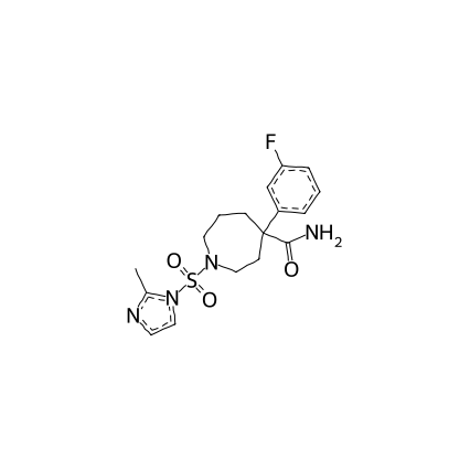 Cc1nccn1S(=O)(=O)N1CCCC(C(N)=O)(c2cccc(F)c2)CC1